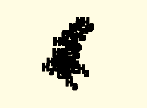 CCC(C)(O)P(=O)(O)O[C@](C)(CC)C[C@H]1O[C@@H](n2cc(I)c(N)nc2=O)[C@H](O)[C@@H]1O